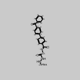 CCCCCCNNC(=O)O/N=C(\Cl)c1ccc(-c2ccc(C(=O)c3ccccc3)cc2)cc1